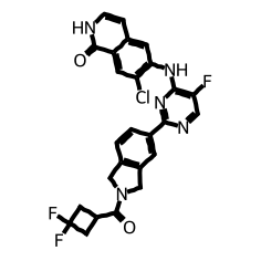 O=C(C1CC(F)(F)C1)N1Cc2ccc(-c3ncc(F)c(Nc4cc5cc[nH]c(=O)c5cc4Cl)n3)cc2C1